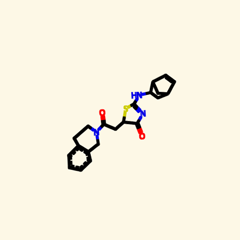 O=C1N=C(NC2CC3C=CC2C3)SC1CC(=O)N1CCc2ccccc2C1